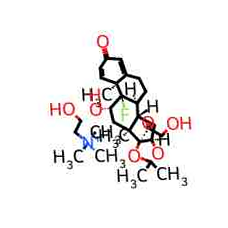 CC1(C)O[C@@H]2C[C@H]3[C@@H]4CCC5=CC(=O)C=C[C@]5(C)[C@@]4(F)[C@@H](O)C[C@]3(C)[C@]2(C(=O)CO)O1.C[N+](C)(C)CCO